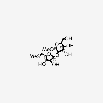 CO[C@H]1OC(CO)[C@@H](O)[C@H](O)C1O[C@H]1O[C@H](CSC)[C@@H](O)C1O